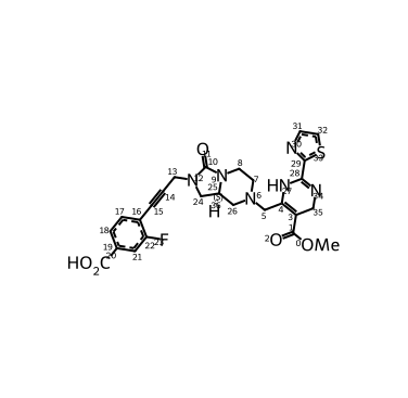 COC(=O)C1=C(CN2CCN3C(=O)N(CC#Cc4ccc(C(=O)O)cc4F)C[C@@H]3C2)NC(c2nccs2)=NC1